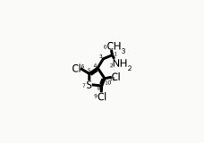 CC(N)Cc1c(Cl)sc(Cl)c1Cl